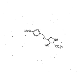 COc1ccc(COC2CN[C@H](C(=O)O)C2O)cc1